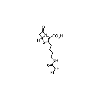 CCNC(=S)NCCCCC1=C(C(=O)O)N2C(=O)C[C@@H]2S1